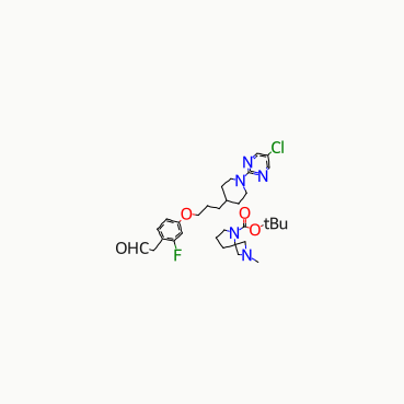 CN1CC2(CCCN2C(=O)OC(C)(C)C)C1.O=CCc1ccc(OCCCC2CCN(c3ncc(Cl)cn3)CC2)cc1F